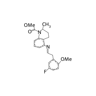 COC(=O)N1c2cccc(/N=C/Cc3cc(F)ccc3OC)c2CCC1C